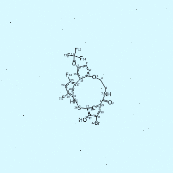 O=C1NCCOc2ccc(OC(F)(F)F)cc2-c2cc(c(F)cc2F)NSc2cc1cc(Br)c2O